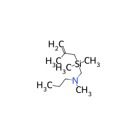 C=C(C)C[Si](C)(C)CN(C)CCC